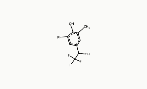 Cc1cc(C(O)C(F)(F)F)cc(Br)c1O